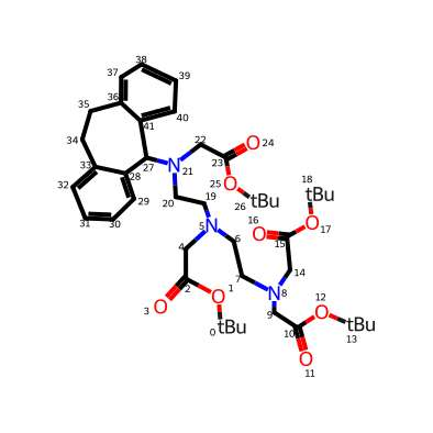 CC(C)(C)OC(=O)CN(CCN(CC(=O)OC(C)(C)C)CC(=O)OC(C)(C)C)CCN(CC(=O)OC(C)(C)C)C1c2ccccc2CCc2ccccc21